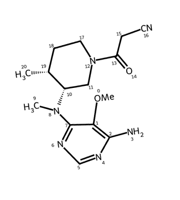 COc1c(N)ncnc1N(C)[C@H]1CN(C(=O)CC#N)CC[C@H]1C